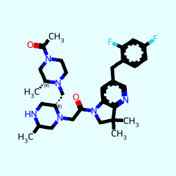 CC(=O)N1CCN(C[C@H]2CNC(C)CN2CC(=O)N2CC(C)(C)c3ncc(Cc4ccc(F)cc4F)cc32)[C@H](C)C1